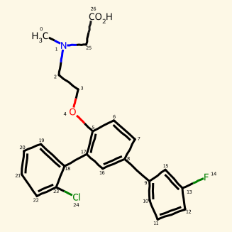 CN(CCOc1ccc(-c2cccc(F)c2)cc1-c1ccccc1Cl)CC(=O)O